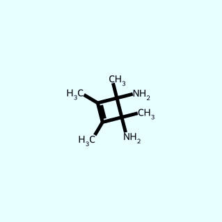 CC1=C(C)C(C)(N)C1(C)N